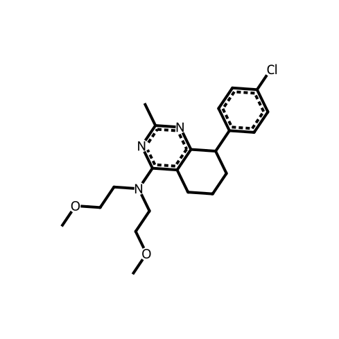 COCCN(CCOC)c1nc(C)nc2c1CCCC2c1ccc(Cl)cc1